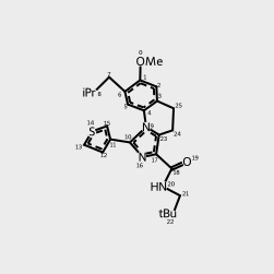 COc1cc2c(cc1CC(C)C)-n1c(-c3ccsc3)nc(C(=O)NCC(C)(C)C)c1CC2